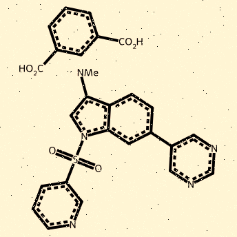 CNc1cn(S(=O)(=O)c2cccnc2)c2cc(-c3cncnc3)ccc12.O=C(O)c1cccc(C(=O)O)c1